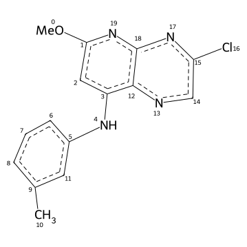 COc1cc(Nc2cccc(C)c2)c2ncc(Cl)nc2n1